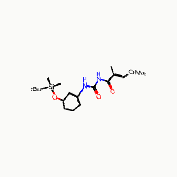 CO/C=C(\C)C(=O)NC(=O)NC1CCCC(O[Si](C)(C)C(C)(C)C)C1